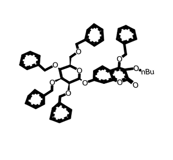 CCCCOc1c(OCc2ccccc2)c2ccc(O[C@H]3O[C@H](COCc4ccccc4)[C@@H](OCc4ccccc4)[C@H](OCc4ccccc4)[C@@H]3OCc3ccccc3)cc2oc1=O